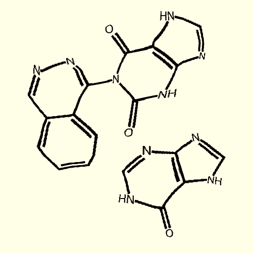 O=c1[nH]c2nc[nH]c2c(=O)n1-c1nncc2ccccc12.O=c1[nH]cnc2nc[nH]c12